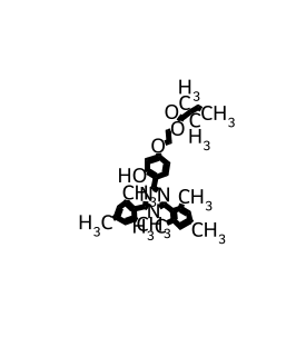 CCC(C)(C)C(=O)OCCOc1ccc(-c2nc(-c3c(C)cc(C)cc3C)nc(-c3c(C)cc(C)cc3C)n2)c(O)c1